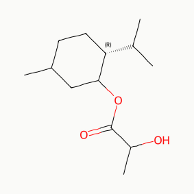 CC1CC[C@H](C(C)C)C(OC(=O)C(C)O)C1